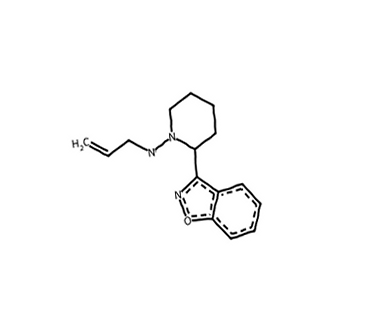 C=CC[N]N1CCCCC1c1noc2ccccc12